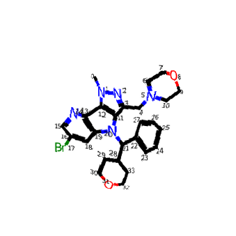 Cn1nc(CN2CCOCC2)c2c1c1ncc(Br)cc1n2C(c1ccccc1)C1CCOCC1